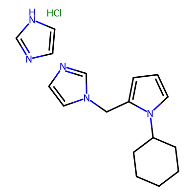 Cl.c1c[nH]cn1.c1cc(Cn2ccnc2)n(C2CCCCC2)c1